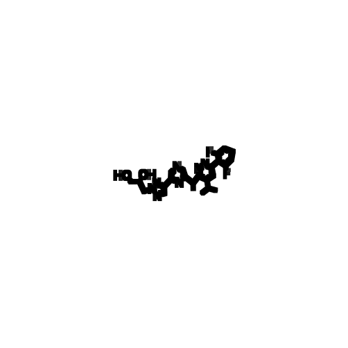 CC(C)c1cc(-c2c(F)cccc2F)nnc1C(C)c1cncc(-c2cnn(C[C@H](O)CO)n2)n1